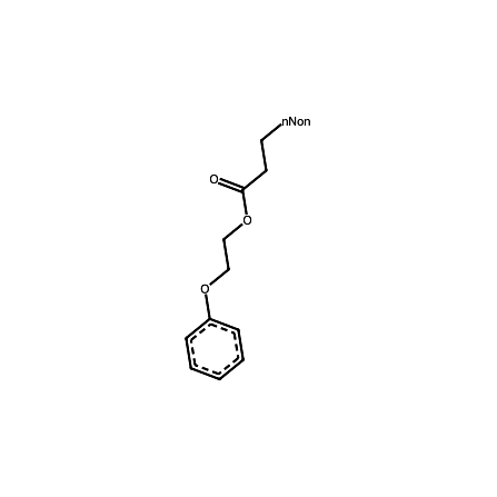 CCCCCCCCCCCC(=O)OCCOc1ccccc1